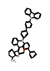 CC1CC=Cc2c1sc1cccc(-c3ccccc3N(c3ccc(-c4ccccc4)cc3)c3ccc(-c4ccc(-n5c6ccccc6c6ccccc65)cc4)cc3)c21